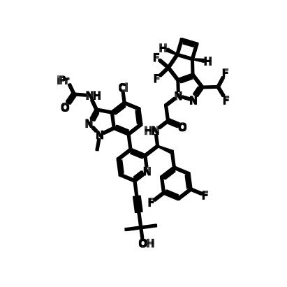 CC(C)C(=O)Nc1nn(C)c2c(-c3ccc(C#CC(C)(C)O)nc3[C@H](Cc3cc(F)cc(F)c3)NC(=O)Cn3nc(C(F)F)c4c3C(F)(F)[C@@H]3C=C[C@H]43)ccc(Cl)c12